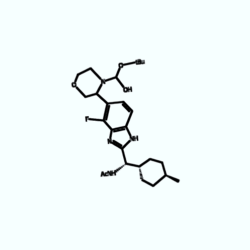 CC(=O)N[C@H](c1nc2c(F)c(C3COCCN3C(O)OC(C)(C)C)ccc2[nH]1)[C@H]1CC[C@H](C)CC1